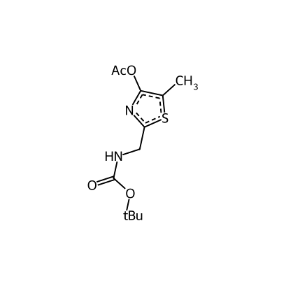 CC(=O)Oc1nc(CNC(=O)OC(C)(C)C)sc1C